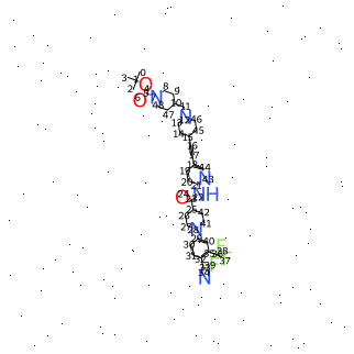 CC(C)(C)OC(=O)N1CCC(CN2CCC(C#Cc3ccc(NC(=O)C4CCN(c5ccc(C#N)c(C(F)(F)F)c5)CC4)nc3)CC2)CC1